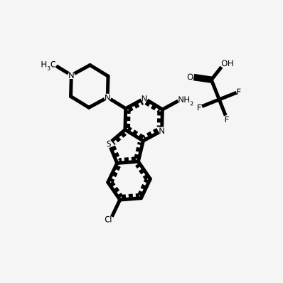 CN1CCN(c2nc(N)nc3c2sc2cc(Cl)ccc23)CC1.O=C(O)C(F)(F)F